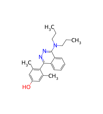 CCCN(CCC)c1nnc(-c2c(C)cc(O)cc2C)c2ccccc12